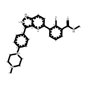 CNC(=O)c1cccc(-c2ccc3[nH]nc(-c4ccc(N5CCN(C)CC5)cc4)c3n2)c1F